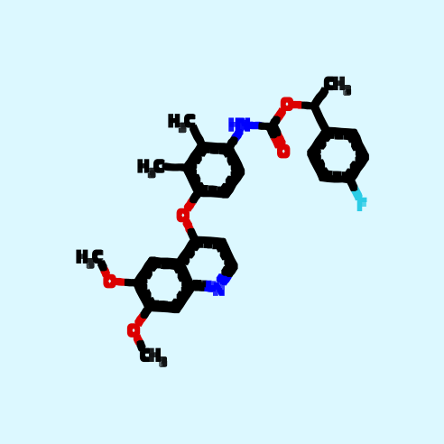 COc1cc2nccc(Oc3ccc(NC(=O)OC(C)c4ccc(F)cc4)c(C)c3C)c2cc1OC